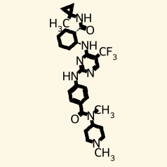 CN1CCC(N(C)C(=O)c2ccc(Nc3ncc(C(F)(F)F)c(N[C@@H]4CCCC[C@@H]4C(=O)NC4(C)CC4)n3)cc2)CC1